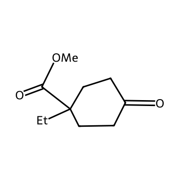 CCC1(C(=O)OC)CCC(=O)CC1